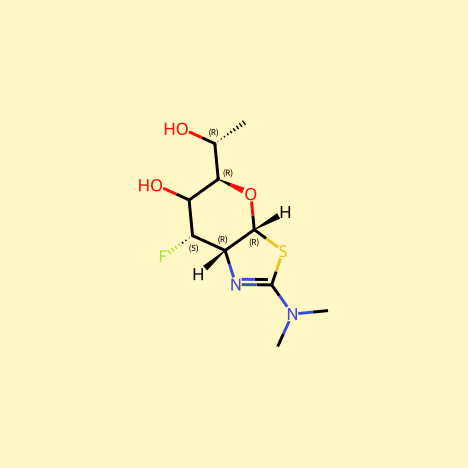 C[C@@H](O)[C@H]1O[C@@H]2SC(N(C)C)=N[C@@H]2[C@H](F)C1O